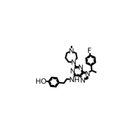 CC(c1ccc(F)cc1)n1cnc2c(NCCc3ccc(O)cc3)nc(N3CCCN(C)CC3)nc21